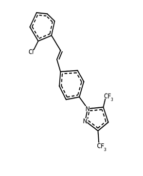 FC(F)(F)c1cc(C(F)(F)F)n(-c2ccc(C=Cc3ccccc3Cl)cc2)n1